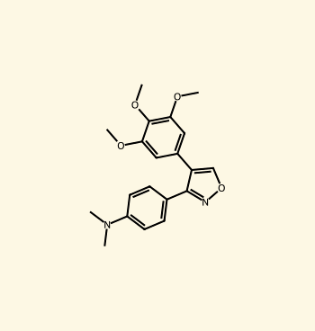 COc1cc(-c2conc2-c2ccc(N(C)C)cc2)cc(OC)c1OC